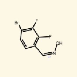 O/N=C\c1ccc(Br)c(F)c1F